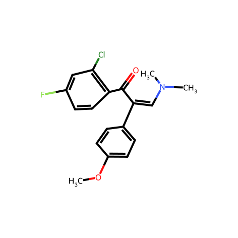 COc1ccc(C(=CN(C)C)C(=O)c2ccc(F)cc2Cl)cc1